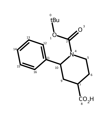 CC(C)(C)OC(=O)N1CCC(C(=O)O)CC1c1ccccc1